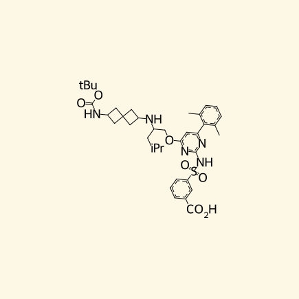 Cc1cccc(C)c1-c1cc(OCC(CC(C)C)NC2CC3(CC(NC(=O)OC(C)(C)C)C3)C2)nc(NS(=O)(=O)c2cccc(C(=O)O)c2)n1